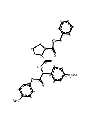 COc1ccc(NC(=O)[C@@H](NC(=O)[C@@H]2CCCN2C(=O)OCc2ccccc2)c2ccc(OC)cc2)cc1